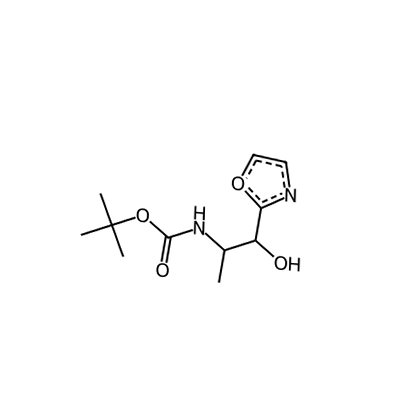 CC(NC(=O)OC(C)(C)C)C(O)c1ncco1